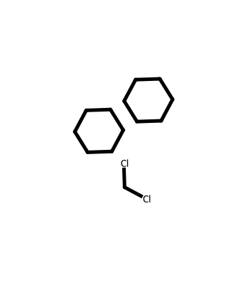 C1CCCCC1.C1CCCCC1.ClCCl